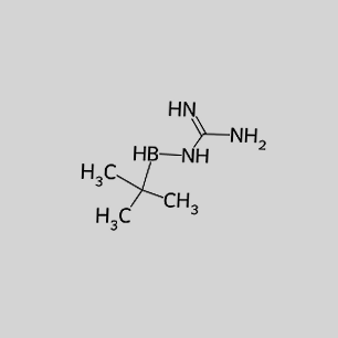 CC(C)(C)BNC(=N)N